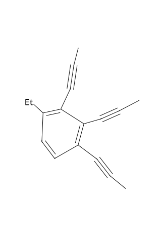 CC#Cc1ccc(CC)c(C#CC)c1C#CC